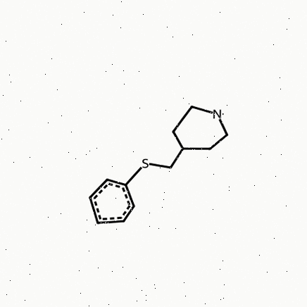 c1ccc(SCC2CC[N]CC2)cc1